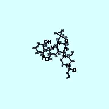 C=CC(=O)N1CCN(c2nc(=O)n(CC3(C)CC3)c3nc(-c4c(O)cccc4F)c(Cl)cc23)[C@@H](C)C1